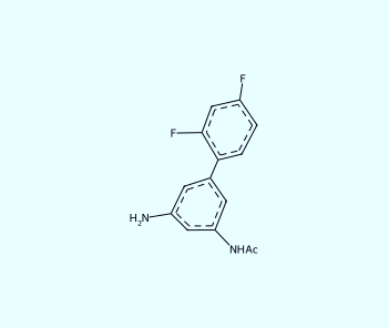 CC(=O)Nc1cc(N)cc(-c2ccc(F)cc2F)c1